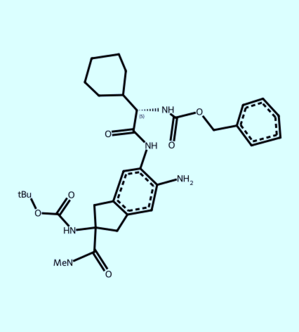 CNC(=O)C1(NC(=O)OC(C)(C)C)Cc2cc(N)c(NC(=O)[C@@H](NC(=O)OCc3ccccc3)C3CCCCC3)cc2C1